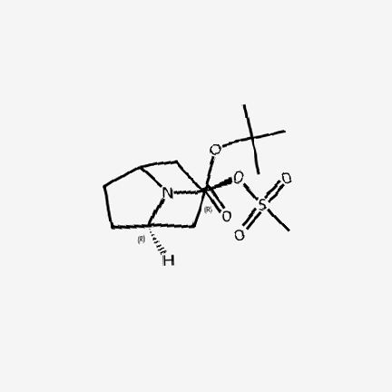 CC(C)(C)OC(=O)N1C2CC[C@@H]1C[C@H](OS(C)(=O)=O)C2